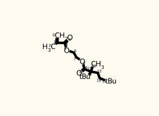 C=C(C)C(=O)OCCOC(=O)C(C)(CCC(C)(C)C)C(C)(C)C